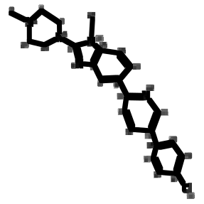 CN1CCN(c2nc3cc(-c4ccc(-c5ccc(Cl)cc5)cn4)ccc3n2C)CC1